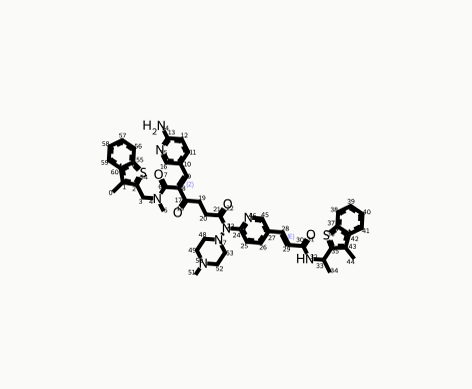 Cc1c(CN(C)C(=O)/C(=C\c2ccc(N)nc2)C(=O)CCC(=O)N(c2ccc(/C=C/C(=O)NC(C)c3sc4ccccc4c3C)cn2)N2CCN(C)CC2)sc2ccccc12